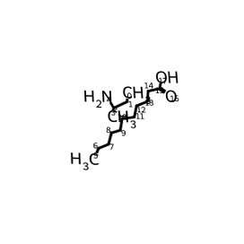 CCC(C)N.CCCCCCCCCCC(=O)O